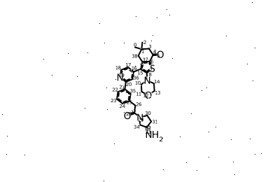 CC1(C)CC(=O)c2sc(N3CCOCC3)c(-c3ccnc(-c4cccc(CC(=O)N5CC[C@H](N)C5)c4)c3)c2C1